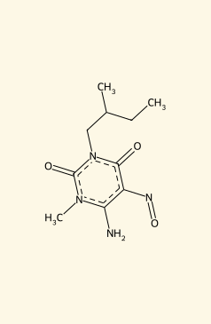 CCC(C)Cn1c(=O)c(N=O)c(N)n(C)c1=O